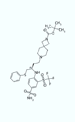 CC(C)(C)OC(=O)N1CC2(CCN(CC[C@H](CSc3ccccc3)Nc3ccc(S(N)(=O)=O)cc3S(=O)(=O)C(F)(F)F)CC2)C1